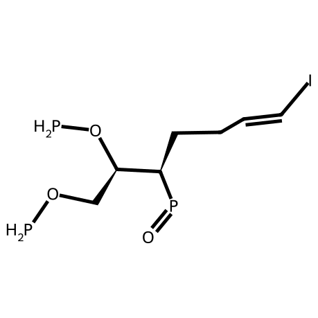 O=P[C@H](CC/C=C/I)[C@@H](COP)OP